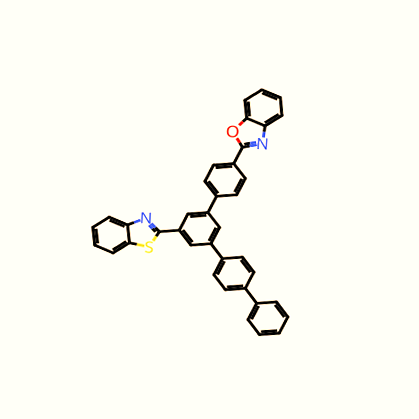 c1ccc(-c2ccc(-c3cc(-c4ccc(-c5nc6ccccc6o5)cc4)cc(-c4nc5ccccc5s4)c3)cc2)cc1